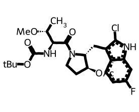 CO[C@H](C)[C@H](NC(=O)OC(C)(C)C)C(=O)N1CC[C@H](OC(C)=O)[C@H]1Cc1c(Cl)[nH]c2cc(F)ccc12